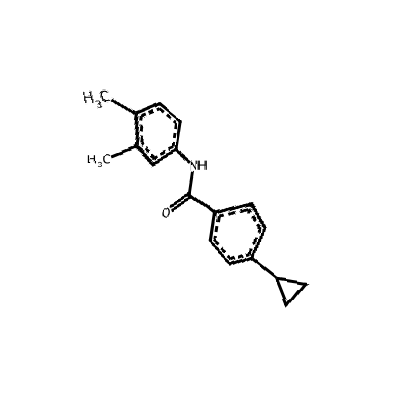 Cc1ccc(NC(=O)c2ccc(C3CC3)cc2)cc1C